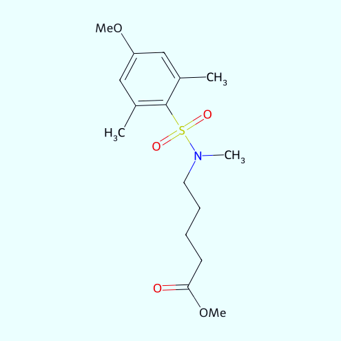 COC(=O)CCCCN(C)S(=O)(=O)c1c(C)cc(OC)cc1C